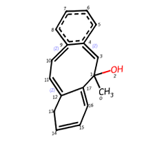 CC1(O)/C=c2/cccc/c2=C/C=C2/CC=CC=C21